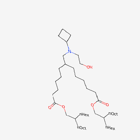 CCCCCCCCC(CCCCCC)COC(=O)CCCCCC(CCCCCC(=O)OCC(CCCCCC)CCCCCCCC)CN(CCO)C1CCC1